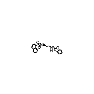 O=S(=O)(NCCCCNCC1Cc2ccccc2O1)c1cccc2ccccc12